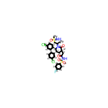 CC(C)C(CS(=N)(=O)C(C)C)N1C(=O)[C@@](C)(CC(=O)NS(=O)(=O)c2ccc(F)cc2)C[C@H](c2cccc(Cl)c2)[C@H]1c1ccc(Cl)cc1